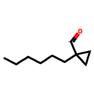 CCCCCCC1([C]=O)CC1